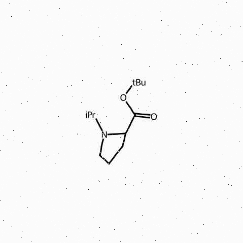 CC(C)N1CCCC1C(=O)OC(C)(C)C